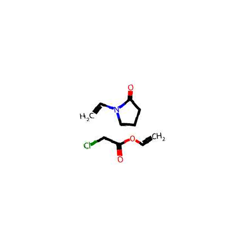 C=CN1CCCC1=O.C=COC(=O)CCl